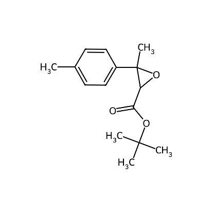 Cc1ccc(C2(C)OC2C(=O)OC(C)(C)C)cc1